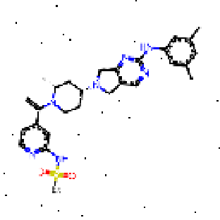 C=C(c1ccnc(NS(=O)(=O)CC)c1)N1CC[C@@H](N2Cc3cnc(Nc4cc(C)cc(C)c4)nc3C2)C[C@H]1C